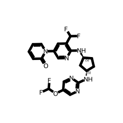 O=c1ccccn1-c1cnc(N[C@H]2CC[C@H](Nc3ncc(OC(F)F)cn3)C2)c(C(F)F)c1